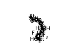 CCC(C)(C)NC(=O)c1ccc(Oc2ccc(C(=O)Nc3cc(C(c4ccc(O)c(C(C)(C)CC)c4)(C(F)(F)F)C(F)(F)F)ccc3O)cc2)cc1